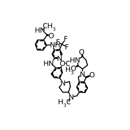 CNC(=O)c1ccccc1Nc1cc(Nc2ccc(N3CCC(N(C)Cc4ccc5c(c4)CN(C4CCC(=O)NC4=O)C5=O)CC3)cc2OC)ncc1C(F)(F)F